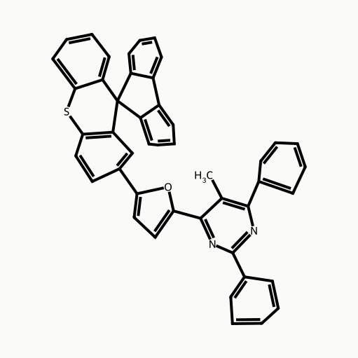 Cc1c(-c2ccccc2)nc(-c2ccccc2)nc1-c1ccc(-c2ccc3c(c2)C2(c4ccccc4S3)c3ccccc3-c3ccccc32)o1